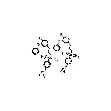 CCOc1ccc([Si](C)(C)CCCc2ccc(F)c(Oc3ccccc3)c2)cc1.CCOc1ccc([Si](C)(C)CCCc2ccc(F)c(Oc3ccccc3)c2)cc1